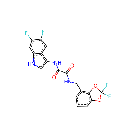 O=C(NCc1cccc2c1OC(F)(F)O2)C(=O)Nc1c[nH]c2cc(F)c(F)cc12